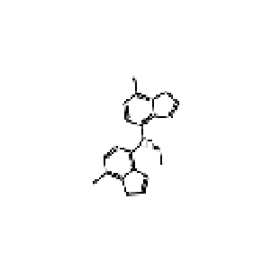 C[CH]=[Zr]([c]1ccc(C)c2c1C=CC2)[c]1ccc(C)c2c1C=CC2